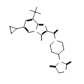 C[C@H]1OC(=O)N(C2CCN(C(=O)c3nc4c(C(F)(F)F)cc(C5CC5)cn4c3Cl)CC2)C1=O